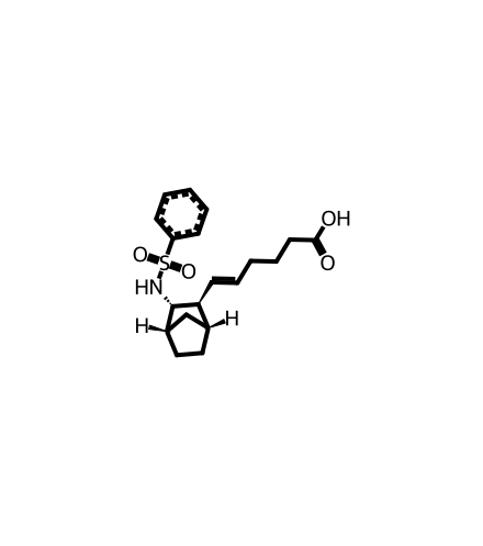 O=C(O)CCCC=C[C@H]1[C@@H]2CC[C@@H](C2)[C@@H]1NS(=O)(=O)c1ccccc1